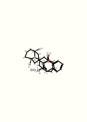 CCOC(=O)c1nc2ccccc2c(=O)n1C1C[C@H]2CCC[C@@H](C1)N2C1C[C@H]2CCCC[C@@H](C1)C2